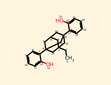 CCC12CC3CC(c4ccccc4O)(C1)CC(c1ccccc1O)(C3)C2